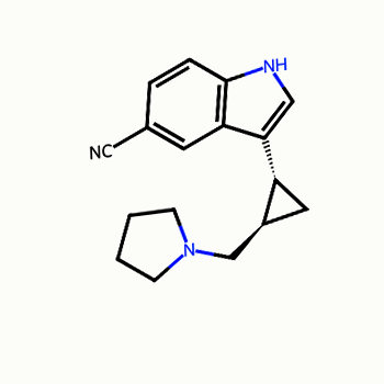 N#Cc1ccc2[nH]cc([C@@H]3C[C@H]3CN3CCCC3)c2c1